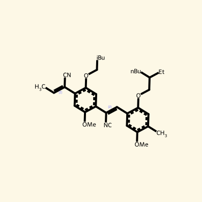 [C-]#[N+]/C(=C\c1cc(OC)c(C)cc1OCC(CC)CCCC)c1cc(OCC(C)CC)c(/C(C#N)=C/C)cc1OC